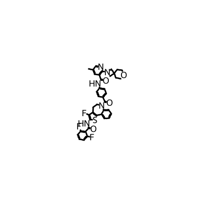 Cc1cnc(N2CC3(CCOCC3)C2)c(C(=O)Nc2ccc(C(=O)N3CCc4c(sc(NC(=O)c5c(F)cccc5F)c4F)-c4ccccc43)cc2)c1